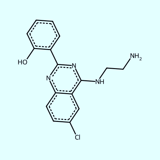 NCCNc1nc(-c2ccccc2O)nc2ccc(Cl)cc12